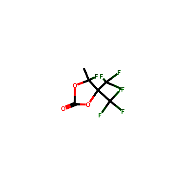 CC1(F)OC(=O)OC1(C(F)(F)F)C(F)(F)F